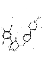 CC(=O)N1CC=C(c2ccc(C[C@H](NC(=O)c3cc(F)c(Cl)cc3F)C(=O)O)cc2)CC1